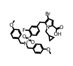 COc1ccc(CN(Cc2ccc(OC)cc2)S(=O)(=O)c2ccc(Cc3c(Br)cc(C(=O)O)n3CC3CC3)cc2F)cc1